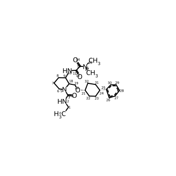 CCNC(=O)N1CCCC(NC(=O)C(=O)N(C)C)C1CO[C@H]1CC[C@@H](c2ccccc2)CC1